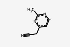 Cc1n[c]cc(CC#N)n1